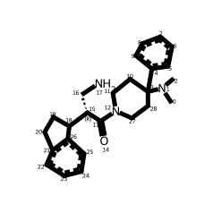 CN(C)C1(c2ccccc2)CCN(C(=O)[C@@H](CN)C2CCc3ccccc32)CC1